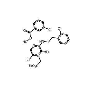 CCOC(=O)Cn1c(Cl)cnc(NCCc2cccc[n+]2[O-])c1=O.O=C(OO)c1cccc(Cl)c1